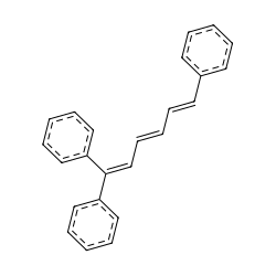 C(=CC=C(c1ccccc1)c1ccccc1)C=Cc1ccccc1